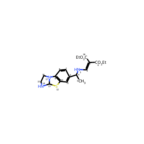 CCOC(=O)C(=CNC(C)c1ccc2c(c1)SC1NCCN21)C(=O)OCC